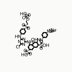 O=S(=O)(O)OCCS(=O)(=O)c1ccc(Nc2nc(Cl)nc(Nc3cc(S(=O)(=O)O)cc4cc(S(=O)(=O)O)c(N=Nc5ccccc5)c(O)c34)n2)cc1.[Na].[Na].[Na]